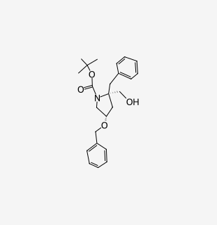 CC(C)(C)OC(=O)N1C[C@@H](OCc2ccccc2)C[C@]1(CO)Cc1ccccc1